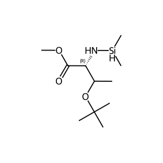 COC(=O)[C@H](N[SiH](C)C)C(C)OC(C)(C)C